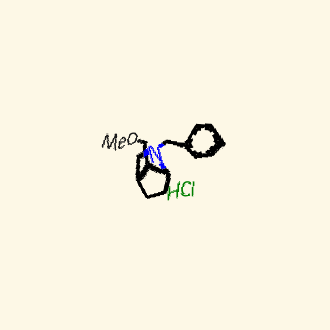 COCC1C2CCC1N(Cc1ccccc1)C2.Cl